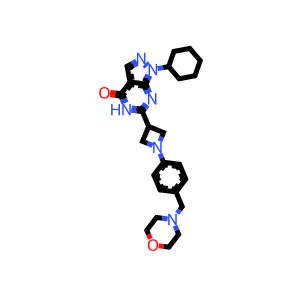 O=c1[nH]c(C2CN(c3ccc(CN4CCOCC4)cc3)C2)nc2c1cnn2C1CCCCC1